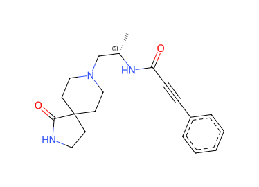 C[C@@H](CN1CCC2(CCNC2=O)CC1)NC(=O)C#Cc1ccccc1